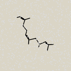 CCCC=C(C)CCC=C(C)CC(I)C=C(C)C